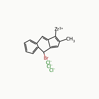 CC1=[C]([Zr+3])C2=Cc3ccccc3C(Br)C2=C1.[Cl-].[Cl-].[Cl-]